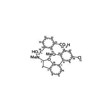 CNC1Cc2cccc(-c3cc(Cl)ccc3OC)c2O1.O=C(O)c1cccc(C(=O)O)c1